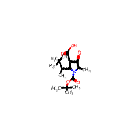 CC1C(=O)C(C(=O)O)C(C(C)C(C)(C)C)N1C(=O)OC(C)(C)C